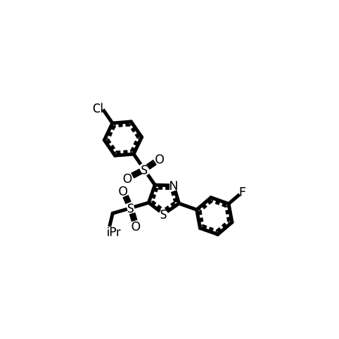 CC(C)CS(=O)(=O)c1sc(-c2cccc(F)c2)nc1S(=O)(=O)c1ccc(Cl)cc1